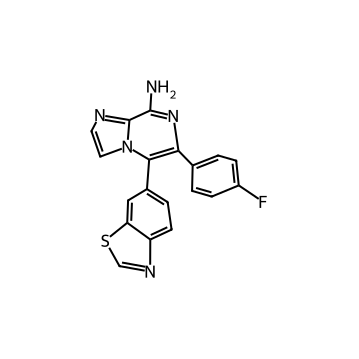 Nc1nc(-c2ccc(F)cc2)c(-c2ccc3ncsc3c2)n2ccnc12